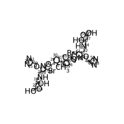 Cc1c(COc2nc(OCc3cncnc3)c(CNC[C@@H](O)CC(=O)O)cc2Br)cccc1-c1cccc(COc2nc(OCc3cncnc3)c(CNC[C@@H](O)CC(=O)O)cc2Br)c1C